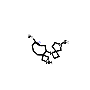 CC(C)/C1=C\CC(N2CCC23CCN(C(C)C)C3)C2(CCC1)CNC2